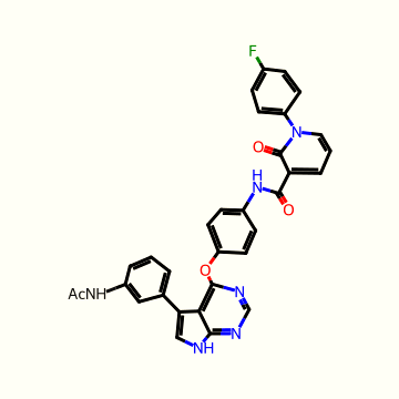 CC(=O)Nc1cccc(-c2c[nH]c3ncnc(Oc4ccc(NC(=O)c5cccn(-c6ccc(F)cc6)c5=O)cc4)c23)c1